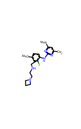 CNc1cc(C)nc(Nc2ccc(OC)c(CNCCN3CCC3)c2F)n1